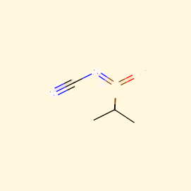 CC(C)/[SH](=O)=N\C#N